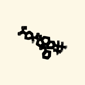 O=C(O)C1CCC(F)(C(=O)N2CC[C@]3(S(=O)(=O)c4ccccc4)c4ccc(C(F)(C(F)(F)F)C(F)(F)F)cc4CC[C@H]23)CC1